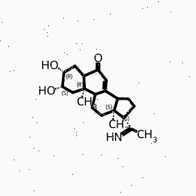 CC(=N)[C@H]1CCC2C3=CC(=O)C4C[C@@H](O)[C@@H](O)C[C@]4(C)C3CC[C@@]21C